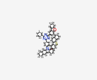 c1ccc(-c2nc(-c3ccc(-n4c5ccccc5c5cc6ccccc6cc54)c(-c4cccc5sc6c7ccccc7ccc6c45)c3)nc(-c3ccc4oc5ccccc5c4c3)n2)cc1